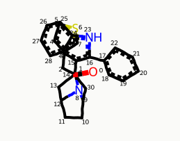 O=C(Cc1ccsc1)N1C2CCC1CC(c1c(-c3ccccc3)[nH]c3ccccc13)C2